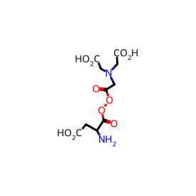 NC(CC(=O)O)C(=O)OOC(=O)CN(CC(=O)O)CC(=O)O